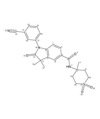 CC1(NC(=O)c2ccc3c(c2)C(C)(C)C(=O)N3c2cccc(C#N)c2)CCS(=O)(=O)CC1